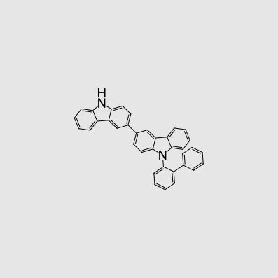 c1ccc(-c2ccccc2-n2c3ccccc3c3cc(-c4ccc5[nH]c6ccccc6c5c4)ccc32)cc1